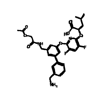 CC(=O)OCC(=O)NCc1cc(Oc2nc(OC(CC(C)C)C(=O)O)c(F)cc2F)cc(-c2cccc(CN)c2)c1